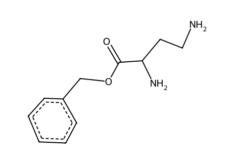 NCCC(N)C(=O)OCc1ccccc1